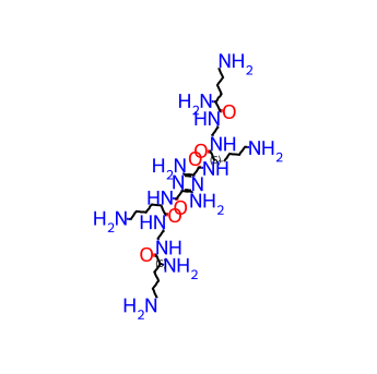 NCCCCC(N)C(=O)NCCNC(=O)[C@H](CCCCN)NC(=O)c1nc(N)c(C(=O)NC(CCCCN)C(=O)NCCNC(=O)[C@@H](N)CCCCN)nc1N